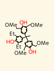 CCc1cc(C(C)(c2cc(COC)c(O)c(COC)c2)c2cc(COC)c(O)c(COC)c2)cc(CC)c1O